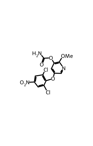 COc1ncc(Oc2c(Cl)cc([N+](=O)[O-])cc2Cl)cc1OC(N)=O